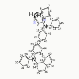 C/C=C\C(=C1\C=CC=CC1C)N(c1ccccc1)c1ccc(-c2ccc(N(c3ccccc3)c3cccc4ccccc34)cc2)cc1